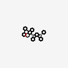 c1ccc(-c2ccccc2-c2c3c(c(-n4c5ccccc5c5c6c7ccccc7n(-c7ccccc7)c6ccc54)c4ccccc24)CCCC3)cc1